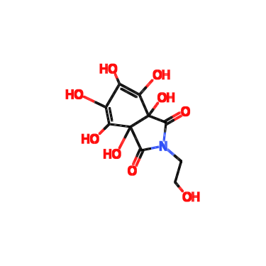 O=C1N(CCO)C(=O)C2(O)C(O)=C(O)C(O)=C(O)C12O